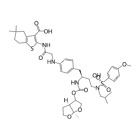 COc1ccc(S(=O)(=O)N(CC(C)C)C[C@@H](O)[C@H](Cc2ccc(NCC(=O)Nc3sc4c(c3C(=O)O)CC(C)(C)CC4)cc2)NC(=O)OC2CO[C@@]3(C)OCC[C@@H]23)cc1